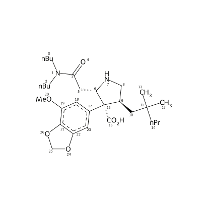 CCCCN(CCCC)C(=O)C[C@@H]1NC[C@@H](CC(C)(C)CCC)[C@@]1(C(=O)O)c1cc(OC)c2c(c1)OCO2